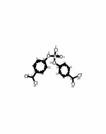 O=P(Cl)(Oc1ccc(C(Cl)Cl)cc1)Oc1ccc(C(Cl)Cl)cc1